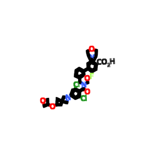 O=C(O)c1cc(F)c(-c2cccc3c2OCN(C(=O)c2c(Cl)cc(N4CC5(CC(OC6COC6)C5)C4)cc2Cl)C3)cc1N1C2CCC1COC2